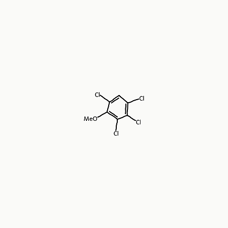 COc1c(Cl)cc(Cl)c(Cl)c1Cl